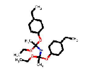 CCOC(C)([N]C(C)(OCC)OC1CCC(CC)CC1)OC1CCC(CC)CC1